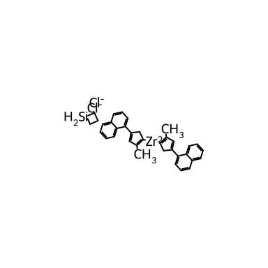 C1C[SiH2]C1.CC1=[C]([Zr+2][C]2=C(C)C=C(c3cccc4ccccc34)C2)CC(c2cccc3ccccc23)=C1.[Cl-].[Cl-]